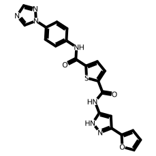 O=C(Nc1ccc(-n2cncn2)cc1)c1ccc(C(=O)Nc2cc(-c3ccco3)n[nH]2)s1